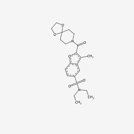 CCN(CC)S(=O)(=O)c1ccc2oc(C(=O)N3CCC4(CC3)OCCO4)c(C)c2c1